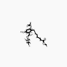 COC(=O)CCCCCCC1[C@@H](OC(C)=O)C[C@H](O)[C@@H]1CO[Si](C)(C)C(C)(C)C